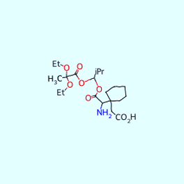 CCOC(C)(OCC)C(=O)OC(OC(=O)C(N)C1(CC(=O)O)CCCCC1)C(C)C